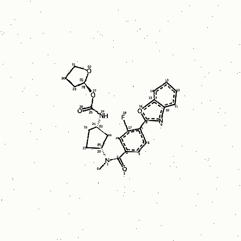 CN(C(=O)c1ccc(-c2nc3ccccc3o2)c(F)c1)[C@@H]1CC[C@H](NC(=O)O[C@H]2CCCO2)C1